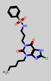 CCCCCn1c(=O)n(CCCNS(=O)(=O)c2ccccc2)c(=O)c2[nH]c(Cl)nc21